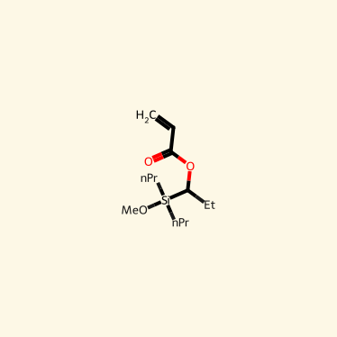 C=CC(=O)OC(CC)[Si](CCC)(CCC)OC